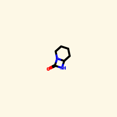 O=C1NC2CCCCN12